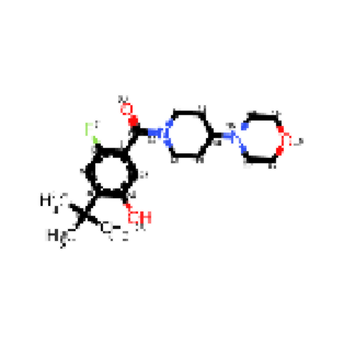 CC(C)(C)c1cc(F)c(C(=O)N2CCC(N3CCOCC3)CC2)cc1O